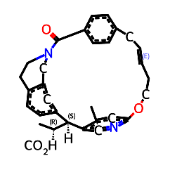 Cc1cc2ncc1[C@@H]([C@@H](C)C(=O)O)c1ccc3c(c1)CN(CC3)C(=O)c1ccc(cc1)C/C=C/CCO2